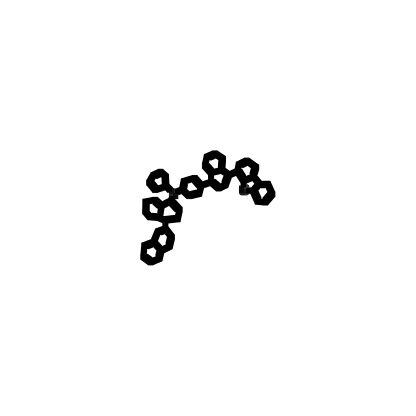 c1ccc(N(c2ccc(-c3ccc(-c4cccc5c4oc4ccccc45)c4ccccc34)cc2)c2ccc(-c3ccc4ccccc4c3)c3ccccc23)cc1